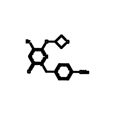 COc1ccc(Cn2nc(OC3COC3)c(Br)cc2=O)cc1